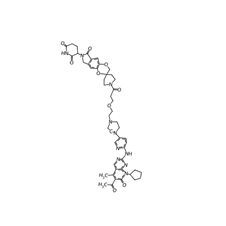 CC(=O)c1c(C)c2cnc(Nc3ccc(N4CCN(CCOCCC(=O)N5CCC6(CC5)COc5cc7c(cc5O6)CN(C5CCC(=O)NC5=O)C7=O)CC4)cn3)nc2n(C2CCCC2)c1=O